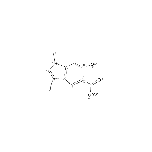 COC(=O)c1cc2c(I)cn(C)c2cc1O